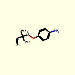 C=CC(OC)(OC)[SiH2]Oc1ccc(N)cc1